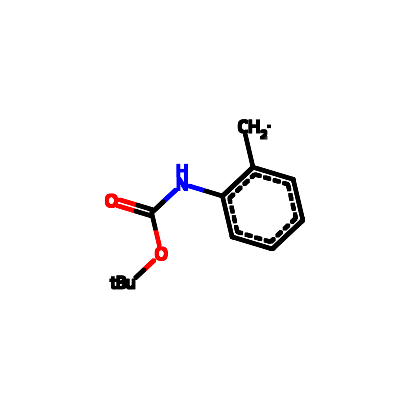 [CH2]c1ccccc1NC(=O)OC(C)(C)C